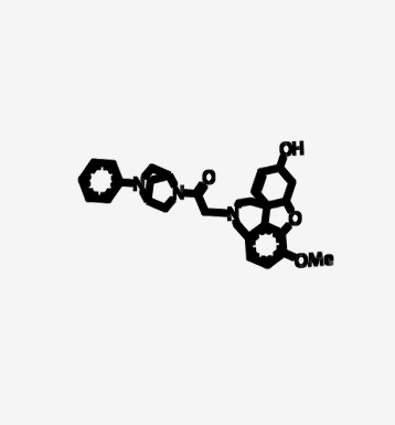 COc1ccc2c3c1OC1CC(O)C=CC31CCN(CC(=O)N1CC3CC1CN3c1ccccc1)C2